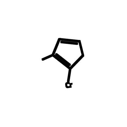 CC1=[C]([Cr])CC=C1